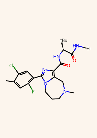 CCNC(=O)[C@@H](NC(=O)c1nc(-c2cc(Cl)c(C)cc2F)n2c1CN(C)CCC2)C(C)(C)C